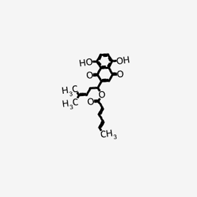 CC=CC=CC(=O)OC(CC=C(C)C)C1=CC(=O)c2c(O)ccc(O)c2C1=O